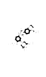 COc1ccc(NS(=O)(=O)c2ccc3c(c2)OCCN3C)cc1N1CC(C)NC(C)C1